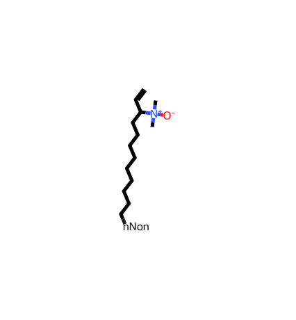 C=CC(CCCCCCCCCCCCCCCCCC)[N+](C)(C)[O-]